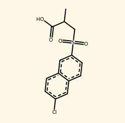 CC(CS(=O)(=O)c1ccc2cc(Cl)ccc2c1)C(=O)O